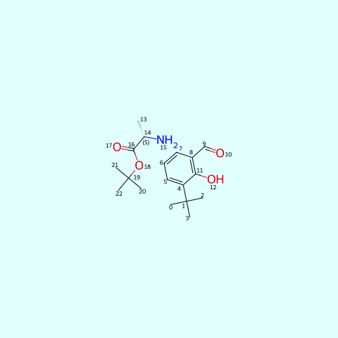 CC(C)(C)c1cccc(C=O)c1O.C[C@H](N)C(=O)OC(C)(C)C